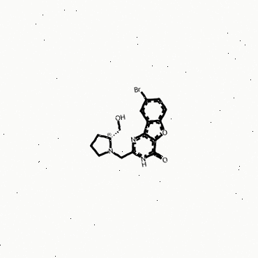 O=c1[nH]c(CN2CCC[C@@H]2CO)nc2c1oc1ccc(Br)cc12